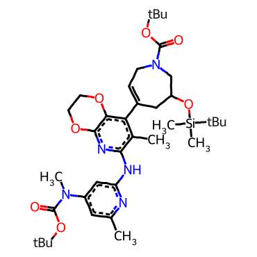 Cc1cc(N(C)C(=O)OC(C)(C)C)cc(Nc2nc3c(c(C4=CCN(C(=O)OC(C)(C)C)CC(O[Si](C)(C)C(C)(C)C)C4)c2C)OCCO3)n1